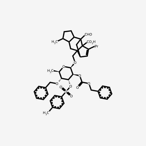 Cc1ccc(S(=O)(=O)O[C@H]2[C@H](OC(=O)OCc3ccccc3)[C@H](OCC34CC5C(C)CCC5C5(C=O)CC3C=C(C(C)C)C54C(=O)O)O[C@H](C)[C@H]2OCc2ccccc2)cc1